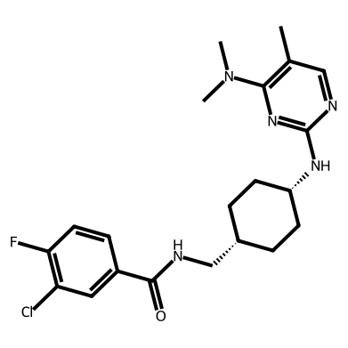 Cc1cnc(N[C@H]2CC[C@@H](CNC(=O)c3ccc(F)c(Cl)c3)CC2)nc1N(C)C